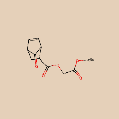 CC(C)(C)OC(=O)COC(=O)C1CC2C=CC1C2=O